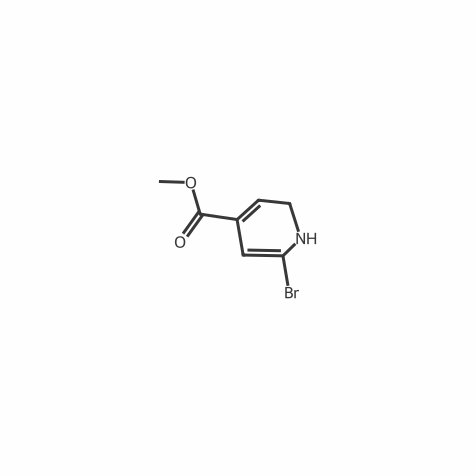 COC(=O)C1=CCNC(Br)=C1